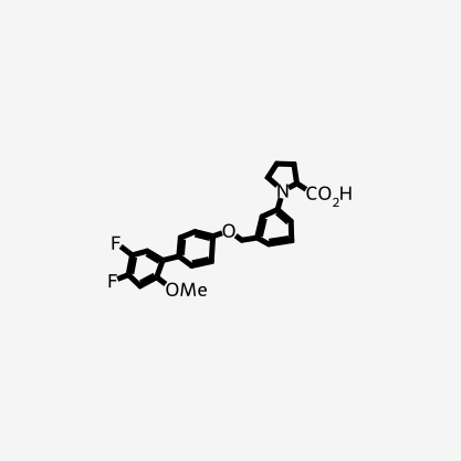 COc1cc(F)c(F)cc1-c1ccc(OCc2cccc(N3CCCC3C(=O)O)c2)cc1